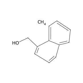 C.OCc1cccc2ccccc12